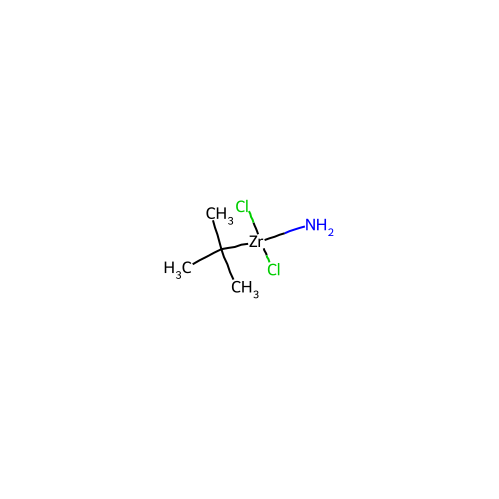 C[C](C)(C)[Zr]([NH2])([Cl])[Cl]